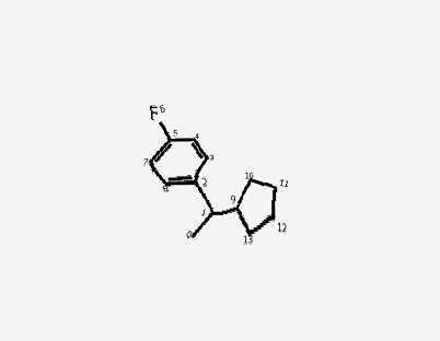 CC(c1ccc(F)cc1)C1CCCC1